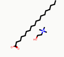 CCCCCCCCCCCCCCCCCC(=O)[O-].C[N+](C)(C)CCO